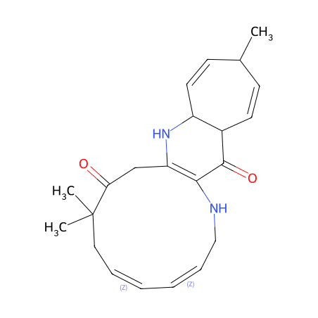 CC1C=CC2NC3=C(NC/C=C\C=C/CC(C)(C)C(=O)C3)C(=O)C2C=C1